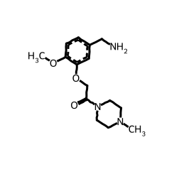 COc1ccc(CN)cc1OCC(=O)N1CCN(C)CC1